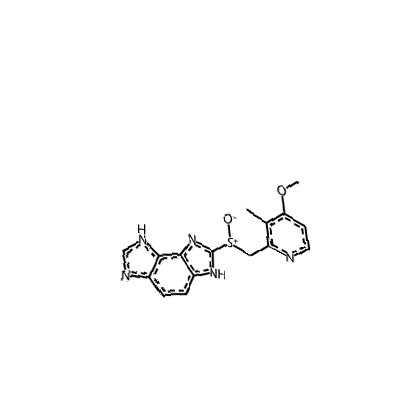 COc1ccnc(C[S+]([O-])c2nc3c(ccc4nc[nH]c43)[nH]2)c1C